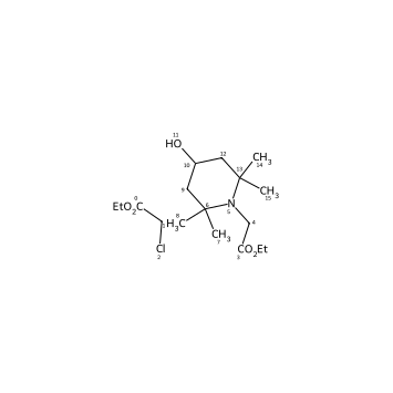 CCOC(=O)CCl.CCOC(=O)CN1C(C)(C)CC(O)CC1(C)C